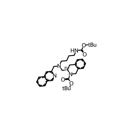 CC(C)(C)OC(=O)NCCCCN(Cc1cc2ccccc2cn1)C[C@H]1Cc2ccccc2CN1C(=O)OC(C)(C)C